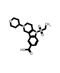 CCS(=O)(=O)n1c2c(c3cc(C(=O)O)ccc31)CN(C1CCOCC1)CC2